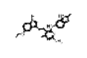 CCOc1ccc2[nH]cc(CCc3c(C)nc(N)nc3Nc3ccc4cc(C)[nH]c4c3)c2c1